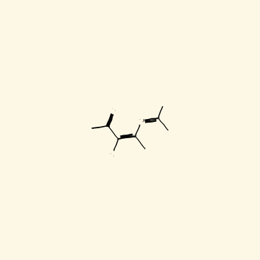 CC(=N)/C(N)=C(C)\N=C(/C)F